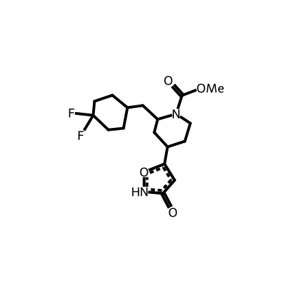 COC(=O)N1CCC(c2cc(=O)[nH]o2)CC1CC1CCC(F)(F)CC1